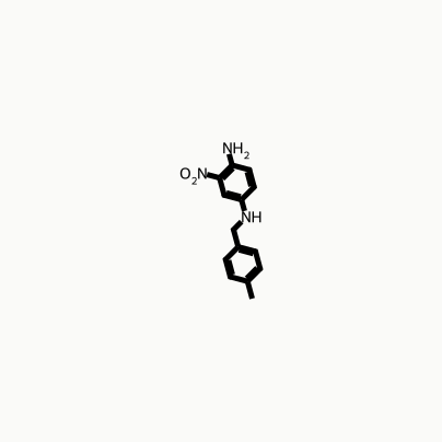 Cc1ccc(CNc2ccc(N)c([N+](=O)[O-])c2)cc1